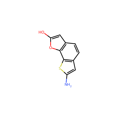 Nc1cc2ccc3cc(O)oc3c2s1